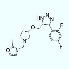 Cc1occc1CN1CC[C@H](OCC2NN=NC2c2ccc(F)cc2F)C1